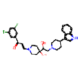 O=C(C=CN1CCC(O)(C(O)CN2CCC(c3c[nH]c4ccccc34)CC2)CC1)c1cc(F)cc(F)c1